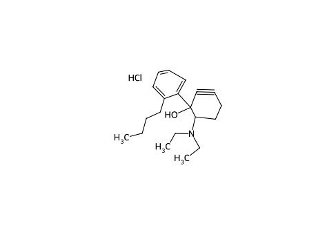 CCCCc1ccccc1C1(O)C#CCCC1N(CC)CC.Cl